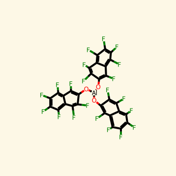 Fc1c(F)c(F)c2c(F)c([O][Al]([O]c3c(F)c(F)c4c(F)c(F)c(F)c(F)c4c3F)[O]c3c(F)c(F)c4c(F)c(F)c(F)c(F)c4c3F)c(F)c(F)c2c1F